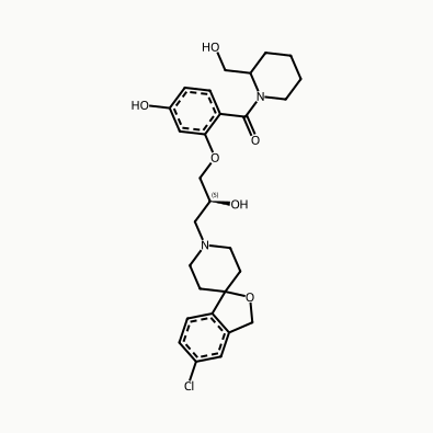 O=C(c1ccc(O)cc1OC[C@@H](O)CN1CCC2(CC1)OCc1cc(Cl)ccc12)N1CCCCC1CO